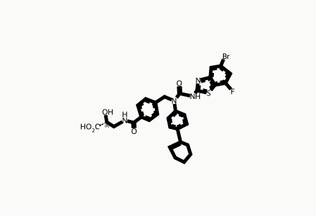 O=C(NC[C@@H](O)C(=O)O)c1ccc(CN(C(=O)Nc2nc3cc(Br)cc(F)c3s2)c2ccc(C3=CCCCC3)cc2)cc1